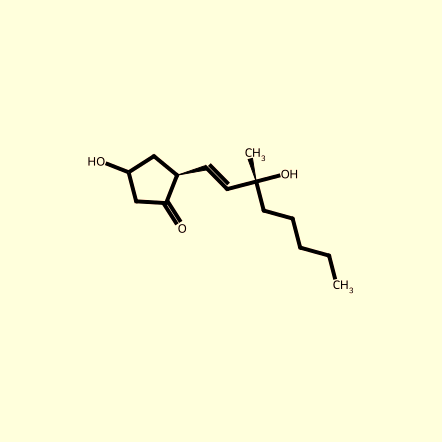 CCCCC[C@@](C)(O)/C=C/[C@@H]1CC(O)CC1=O